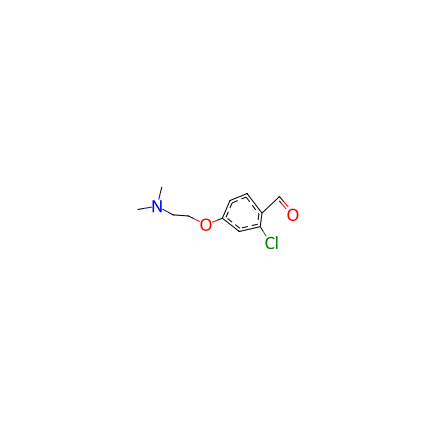 CN(C)CCOc1ccc(C=O)c(Cl)c1